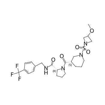 COC1CN(S(=O)(=O)N2CCC[C@H](C(=O)N3CCC[C@@H]3C(=O)NCc3ccc(C(F)(F)F)cc3)C2)C1